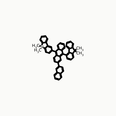 CC1(C)c2ccccc2-c2c(-c3c4ccccc4c(-c4ccc5c(c4)-c4ccccc4[Si]5(C)C)c4ccc(-c5ccc6ccccc6c5)cc34)cccc21